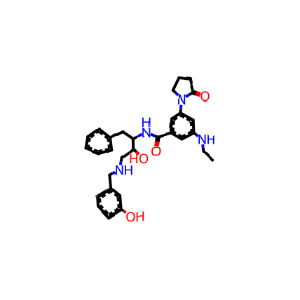 CCNc1cc(C(=O)NC(Cc2ccccc2)C(O)CNCc2cccc(O)c2)cc(N2CCCC2=O)c1